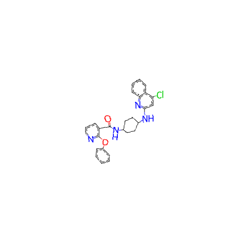 O=C(NC1CCC(Nc2cc(Cl)c3ccccc3n2)CC1)c1cccnc1Oc1ccccc1